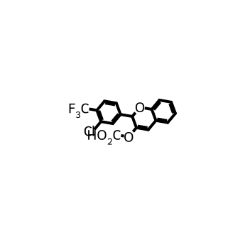 O=C(O)OC1=Cc2ccccc2OC1c1ccc(C(F)(F)F)c(Cl)c1